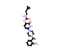 O=C(NCCC1CC1)Oc1ccc(N2CCN(C(=O)c3ccccc3C(F)(F)F)CC2)[nH]c1=O